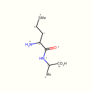 CCC(C)C(NC(=O)C(N)CCSC)C(=O)O